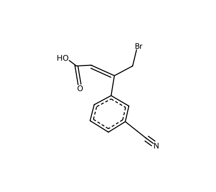 N#Cc1cccc(/C(=C\C(=O)O)CBr)c1